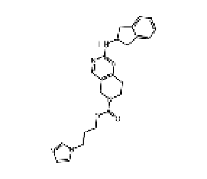 O=C(OCCCn1ccnc1)N1CCc2nc(NC3Cc4ccccc4C3)ncc2C1